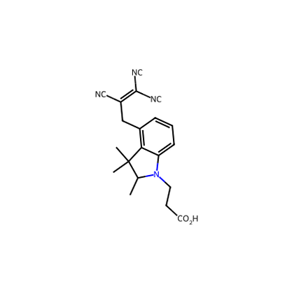 [C-]#[N+]C([N+]#[C-])=C(C#N)Cc1cccc2c1C(C)(C)C(C)N2CCC(=O)O